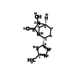 Cc1nnc([C@H]2CC[C@H]3CN2C(=O)N3O)s1